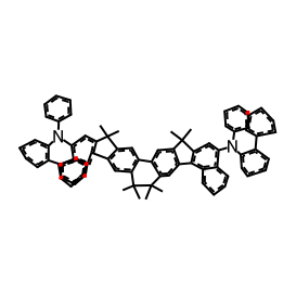 CC1(C)c2cc3c(cc2-c2c1cc(N(c1ccccc1)c1ccccc1-c1ccccc1)c1ccccc21)C(C)(C)C(C)(C)c1cc2c(cc1-3)C(C)(C)c1cc(N(c3ccccc3)c3ccccc3-c3ccccc3)c3ccccc3c1-2